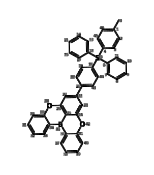 Cc1ccc([Si](c2ccccc2)(c2ccccc2)c2ccc(-c3cc4c5c(c3)Oc3ccccc3B5c3ccccc3O4)cc2)cc1